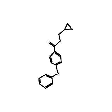 O=C(CCC1CO1)c1ccc(Oc2ccccc2)cc1